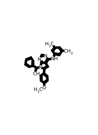 COc1ccc(-c2cc3c(Nc4cc(C)cc(C)c4)ncnc3n2C(C)c2ccccc2)cc1